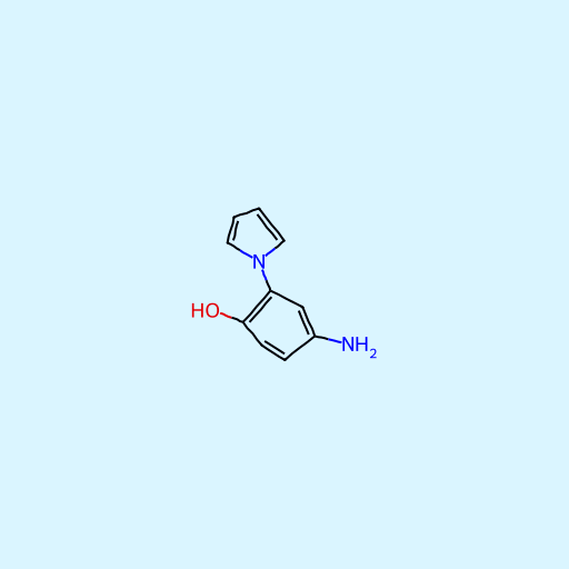 Nc1ccc(O)c(-n2cccc2)c1